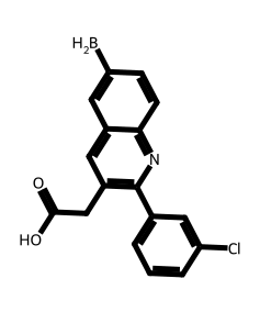 Bc1ccc2nc(-c3cccc(Cl)c3)c(CC(=O)O)cc2c1